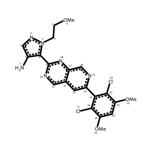 COCCn1ncc(N)c1-c1ncc2cc(-c3c(Cl)c(OC)cc(OC)c3Cl)ncc2n1